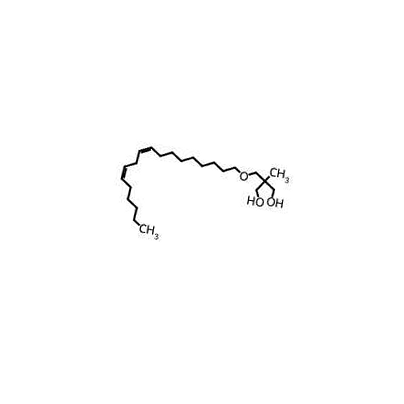 CCCCC/C=C\C/C=C\CCCCCCCCOCC(C)(CO)CO